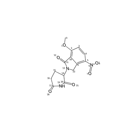 COc1ccc([N+](=O)[O-])c2c1C(=O)N(C1CCC(=O)NC1=O)C2